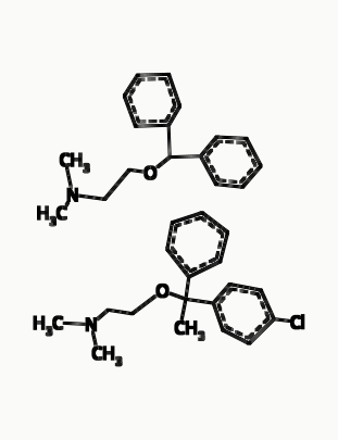 CN(C)CCOC(C)(c1ccccc1)c1ccc(Cl)cc1.CN(C)CCOC(c1ccccc1)c1ccccc1